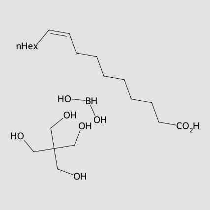 CCCCCC/C=C\CCCCCCCC(=O)O.OBO.OCC(CO)(CO)CO